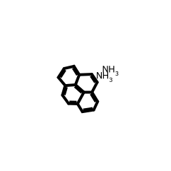 N.N.c1cc2ccc3cccc4ccc(c1)c2c34